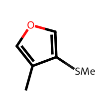 CSc1cocc1C